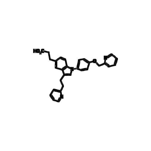 O=C(O)CCc1ccc2c(c1)c(CCc1ccccn1)cn2-c1ccc(OCc2ccccn2)cc1